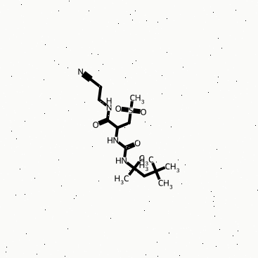 CC(C)(C)CC(C)(C)NC(=O)NC(CS(C)(=O)=O)C(=O)NCCC#N